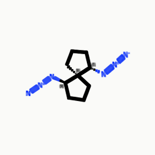 [N-]=[N+]=N[C@H]1CCC[C@@]12CCC[C@H]2N=[N+]=[N-]